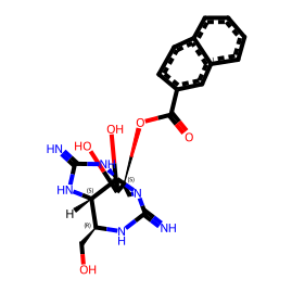 N=C1N[C@H]2[C@H](CO)NC(=N)N3C[C@H](OC(=O)c4ccc5ccccc5c4)C(O)(O)[C@]23N1